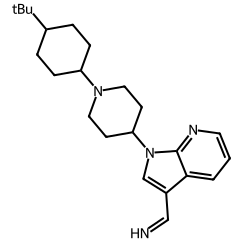 CC(C)(C)C1CCC(N2CCC(n3cc(C=N)c4cccnc43)CC2)CC1